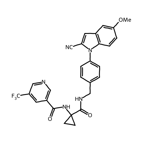 COc1ccc2c(c1)cc(C#N)n2-c1ccc(CNC(=O)C2(NC(=O)c3cncc(C(F)(F)F)c3)CC2)cc1